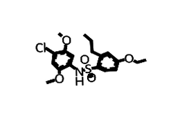 CCCc1cc(OCC)ccc1S(=O)(=O)Nc1cc(OC)c(Cl)cc1OC